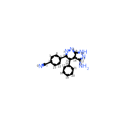 N#Cc1ccc(-c2nnc3[nH]nc(N)c3c2-c2ccccc2)cc1